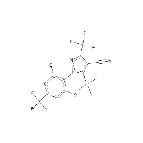 C[Si](C)(C)c1c(C#N)c(C(F)(F)F)nn1-c1c(Cl)cc(C(F)(F)F)cc1Cl